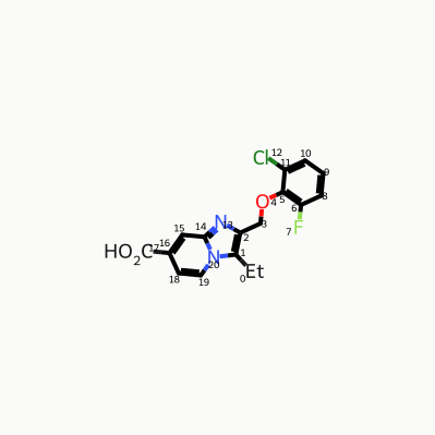 CCc1c(COc2c(F)cccc2Cl)nc2cc(C(=O)O)ccn12